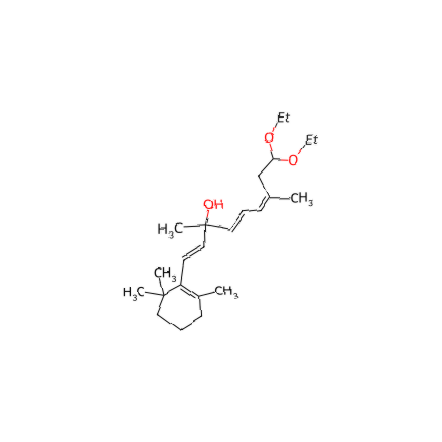 CCOC(CC(C)=CC=CC(C)(O)C=CC1=C(C)CCCC1(C)C)OCC